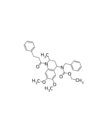 CCOC(=O)N(Cc1ccccc1)C1CC(C)N(C(=O)CCc2ccccc2)c2cc(OC)c(OC)cc21